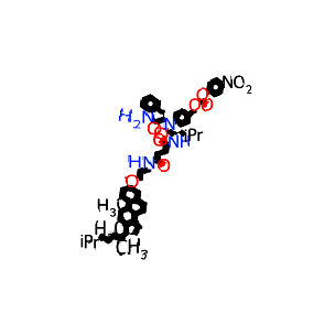 CC(C)CCC[C@@H](C)[C@H]1CCC2C3CC=C4C[C@@H](OCCCNC(=O)CCC(=O)N[C@@H](CC(C)C)C(=O)N(c5ccc(COC(=O)Oc6ccc([N+](=O)[O-])cc6)cc5)[C@@H](Cc5ccccc5)C(N)=O)CC[C@]4(C)C3CC[C@@]21C